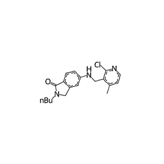 CCCCN1Cc2cc(NCc3c(C)ccnc3Cl)ccc2C1=O